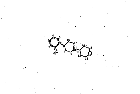 Fc1ccccc1C1CCN(C2CCOCC2)CC1